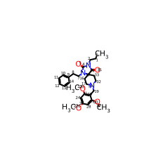 CCCN1C(=O)N(CCc2ccccc2)C2(CCN(Cc3c(OC)cc(OC)cc3OC)CC2)C1=O